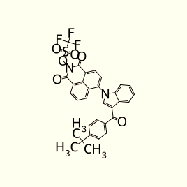 CC(C)(C)c1ccc(C(=O)c2cn(-c3ccc4c5c(cccc35)C(=O)N(OS(=O)(=O)C(F)(F)F)C4=O)c3ccccc23)cc1